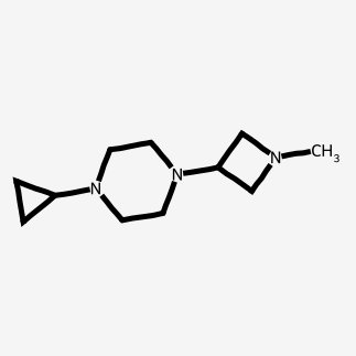 CN1CC(N2CCN(C3CC3)CC2)C1